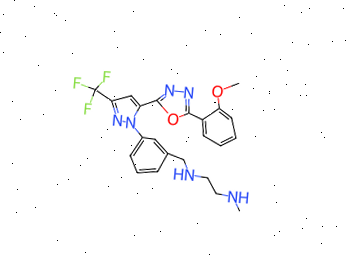 CNCCNCc1cccc(-n2nc(C(F)(F)F)cc2-c2nnc(-c3ccccc3OC)o2)c1